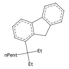 CCCCCC(CC)(CC)c1cccc2c1Cc1ccccc1-2